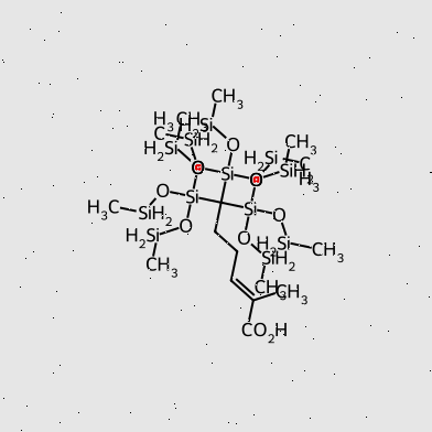 C[SiH2]O[Si](O[SiH2]C)(O[SiH2]C)C(CCC=C(C)C(=O)O)([Si](O[SiH2]C)(O[SiH2]C)O[SiH2]C)[Si](O[SiH2]C)(O[SiH2]C)O[SiH2]C